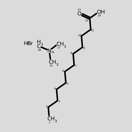 Br.CCCCCCCCCCCC(=O)O.CN(C)C